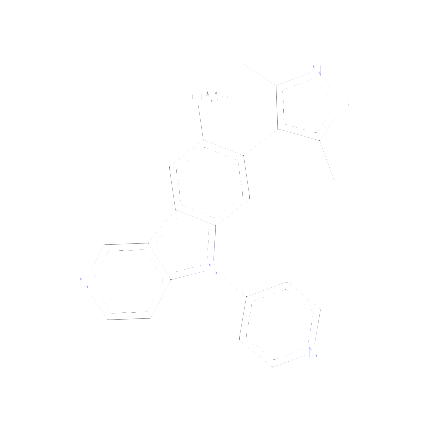 COc1cc2c3cnccc3n(-c3ccncc3)c2cc1-c1c(C)noc1C